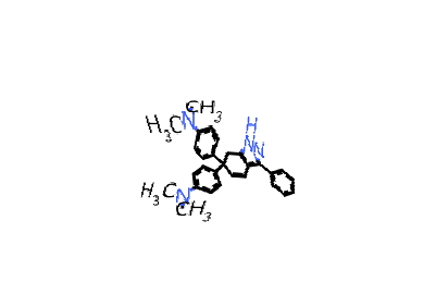 CN(C)c1ccc(C2(c3ccc(N(C)C)cc3)C=Cc3c(-c4ccccc4)n[nH]c3C2)cc1